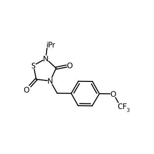 CC(C)n1sc(=O)n(Cc2ccc(OC(F)(F)F)cc2)c1=O